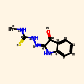 CC(C)NC(=S)NN=C1Nc2ccccc2C1=O